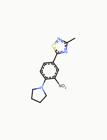 Cc1nsc(-c2ccc(N3CCCC3)c([N+](=O)[O-])c2)n1